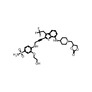 NS(=O)(=O)c1ccc(NCC#Cc2sc3c(NC4CCN(CC5COC(=O)O5)CC4)cccc3c2CC(F)(F)F)c(OCCO)c1